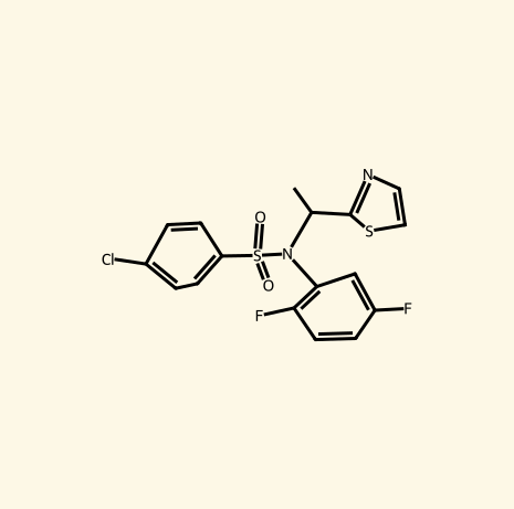 CC(c1nccs1)N(c1cc(F)ccc1F)S(=O)(=O)c1ccc(Cl)cc1